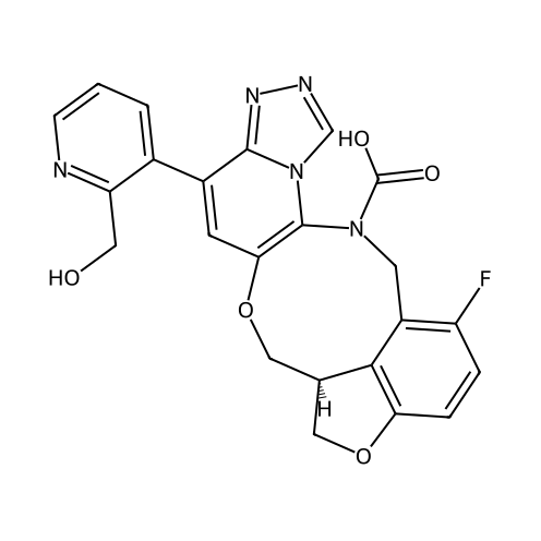 O=C(O)N1Cc2c(F)ccc3c2[C@@H](CO3)COc2cc(-c3cccnc3CO)c3nncn3c21